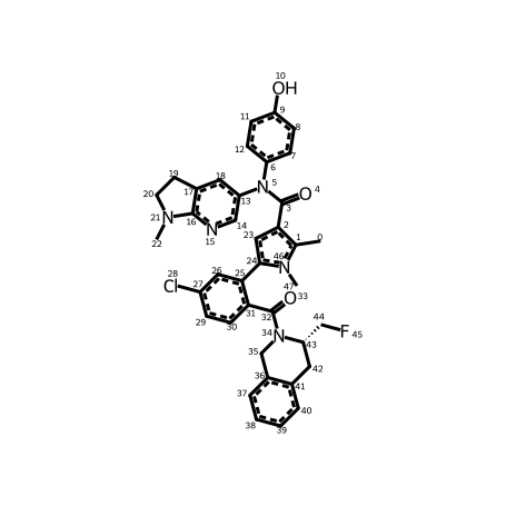 Cc1c(C(=O)N(c2ccc(O)cc2)c2cnc3c(c2)CCN3C)cc(-c2cc(Cl)ccc2C(=O)N2Cc3ccccc3C[C@H]2CF)n1C